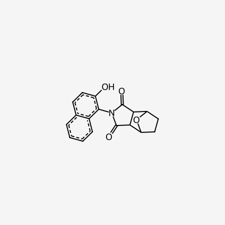 O=C1C2C3CCC(O3)C2C(=O)N1c1c(O)ccc2ccccc12